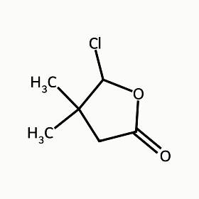 CC1(C)CC(=O)OC1Cl